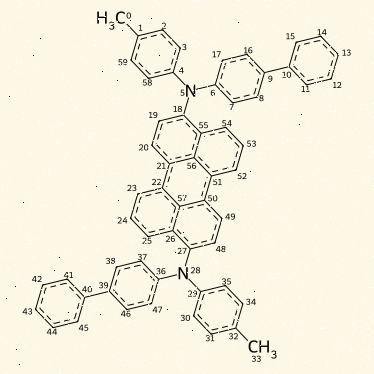 Cc1ccc(N(c2ccc(-c3ccccc3)cc2)c2ccc3c4cccc5c(N(c6ccc(C)cc6)c6ccc(-c7ccccc7)cc6)ccc(c6cccc2c63)c54)cc1